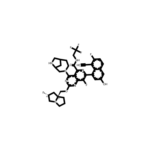 C#Cc1c(F)ccc2cc(O)cc(-c3nc(C(=O)NCC(F)(F)F)c4c(N5CCC6CNC(C6)C5)nc(OC[C@@]56CCCN5C[C@H](F)C6)nc4c3F)c12